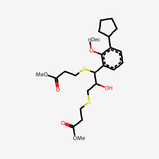 CCCCCCCCCCOc1c(C2CCCC2)cccc1C(SCCC(=O)OC)C(O)CSCCC(=O)OC